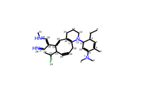 CCC1C=C(C)C(N(C)C)=CC1N1CCCC2=C1CC#CC(C(C)F)C(/C(C=N)=C/NC)=C\2